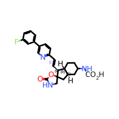 O=C(O)NC1CC[C@@H]2[C@@H](C1)CC1(CNC(=O)O1)[C@H]2/C=C/c1ccc(-c2cccc(F)c2)cn1